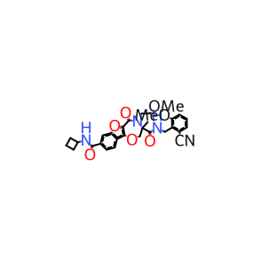 COCCN1C(=O)c2oc3cc(C(=O)NC4CCC4)ccc3c2OCC1(C)C(=O)NCc1c(C#N)cccc1OC